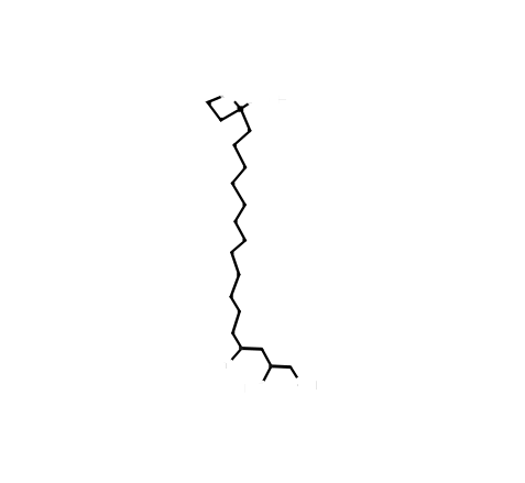 CCCC(CCCCCCCCCCCCC1(C(=O)O)CCO1)CC(O)CO